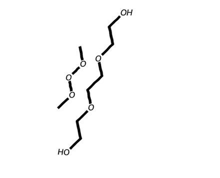 COOOC.OCCOCCOCCO